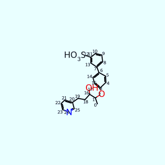 CC(Oc1ccc(-c2cccc(S(=O)(=O)O)c2)cc1)C(O)CCc1cccnc1